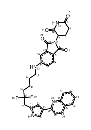 O=C1CCC(N2C(=O)c3ccc(NCCCCC(F)(F)Cn4cc(-c5cnc6ccccc6n5)cn4)cc3C2=O)C(=O)N1